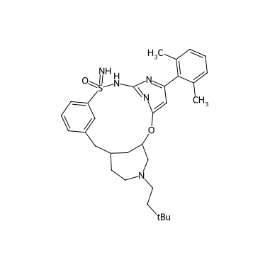 Cc1cccc(C)c1-c1cc2nc(n1)NS(=N)(=O)c1cccc(c1)CC1CCN(CCC(C)(C)C)CC(C1)O2